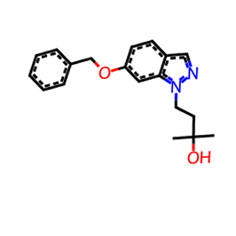 CC(C)(O)CCn1ncc2ccc(OCc3ccccc3)cc21